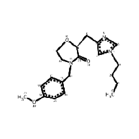 CCCCn1cnc(C[C@@H]2OCCN(Cc3ccc(OC)cc3)C2=O)c1